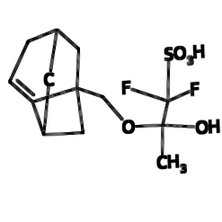 CC(O)(OCC12CC3CC=C1C(C3)C2)C(F)(F)S(=O)(=O)O